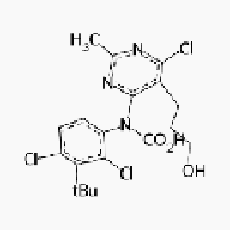 Cc1nc(Cl)c(CCCO)c(N(C(=O)O)c2ccc(Cl)c(C(C)(C)C)c2Cl)n1